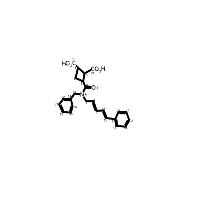 O=C(O)C1CC(C(=O)N(CC=CC=Cc2ccccc2)Cc2ccccc2)C1C(=O)O